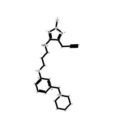 C#CCc1n[s+]([O-])nc1NCCCOc1cccc(CN2CCCCC2)c1